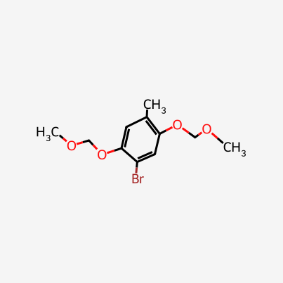 COCOc1cc(Br)c(OCOC)cc1C